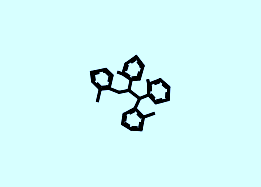 Cc1ccccc1CC(c1ccccc1C)C(c1ccccc1C)c1ccccc1C